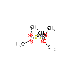 C=CCCCCOC(=O)c1cc(C(=O)OCCCCC=C)cc(/C(=C/CC)SC(C)c2ccc(-c3cc(C(=O)OCCCCC=C)cc(C(=O)OCCCCC=C)c3)s2)c1